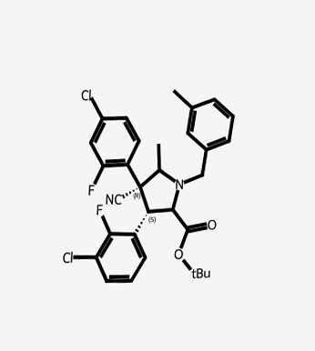 Cc1cccc(CN2C(C(=O)OC(C)(C)C)[C@H](c3cccc(Cl)c3F)[C@@](C#N)(c3ccc(Cl)cc3F)C2C)c1